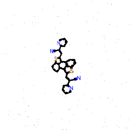 N#C/C(=C\c1sc2cccc3c4c(/C=C(\C#N)c5ccccn5)sc5cccc(c1c23)c54)c1ccccn1